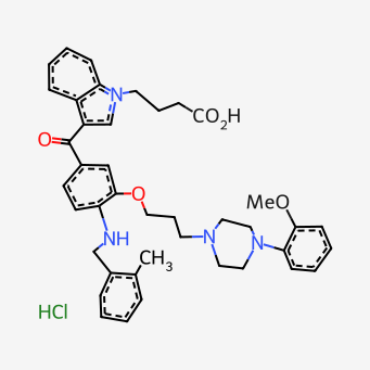 COc1ccccc1N1CCN(CCCOc2cc(C(=O)c3cn(CCCC(=O)O)c4ccccc34)ccc2NCc2ccccc2C)CC1.Cl